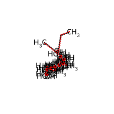 CCCCCCCC/C=C\CCCCCCCCCCCCCC(=O)N[C@@H](CO[C@@H]1OC(CO)[C@@H](O[C@@H]2OC(CO)[C@H](O)[C@H](O[C@@H]3OC(CO)[C@@H](O[C@@H]4OC(CO)[C@H](O)[C@H](O[C@@H]5OC(CO)[C@@H](O[C@@H]6OC(CO)[C@H](O)[C@H](O[C@@H]7OC(CO)[C@@H](O[C@@H]8OC(CO)[C@H](O)[C@H](O)C8O)[C@H](O)C7NC(C)=O)C6O)[C@H](O)C5NC(C)=O)C4O)[C@H](O)C3NC(C)=O)C2O)[C@H](O)C1O)[C@H](O)/C=C/CCCCCCCCCCCCC